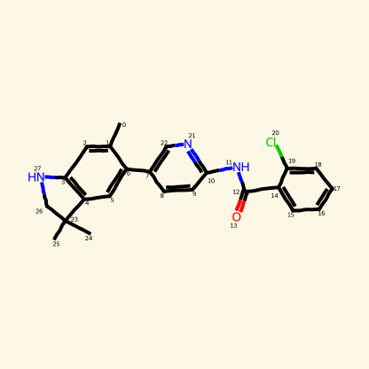 Cc1cc2c(cc1-c1ccc(NC(=O)c3ccccc3Cl)nc1)C(C)(C)CN2